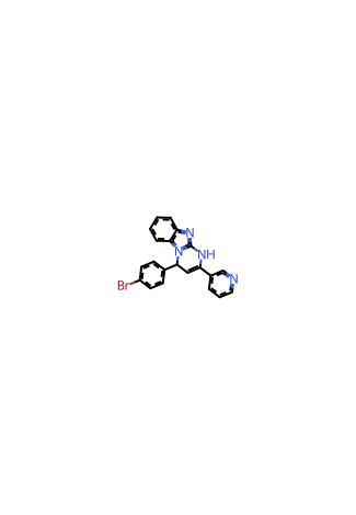 Brc1ccc(C2C=C(c3cccnc3)Nc3nc4ccccc4n32)cc1